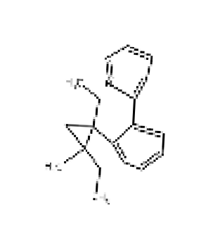 CCC1(C)CC1(CC)c1ccccc1-c1ccccn1